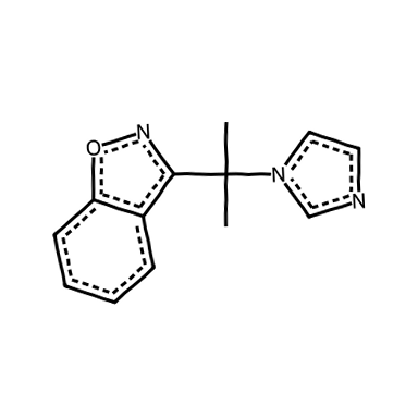 CC(C)(c1noc2ccccc12)n1ccnc1